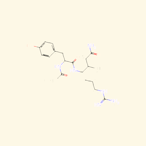 CCCCCCCC(=O)NC(Cc1ccc(O)cc1)C(=O)N[C@@H](CCCNC(=N)N)C(C)CC(N)=O